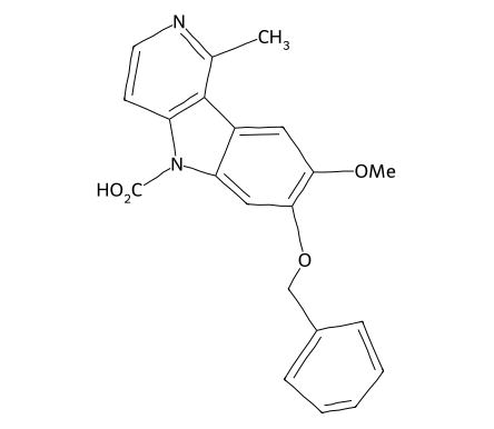 COc1cc2c3c(C)nccc3n(C(=O)O)c2cc1OCc1ccccc1